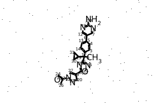 CC(c1ccc(-c2cnc(N)nc2)cc1)(c1noc(-c2cnn(C3COC3)c2)n1)C1CC1